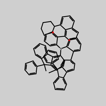 CC1(c2ccccc2)c2ccccc2-c2ccc(-c3ccccc3N(c3ccccc3-c3cccc4cccc(C5CCCCC5)c34)c3cccc4c3-c3ccccc3C4(C)c3ccccc3)cc21